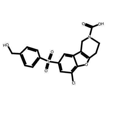 O=C(O)N1CCc2oc3c(Cl)cc(S(=O)(=O)c4ccc(CO)cc4)cc3c2C1